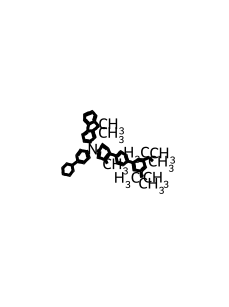 Cc1cc(N(c2ccc(C3CCCCC3)cc2)c2ccc3c(c2)C(C)(C)c2ccccc2-3)ccc1-c1ccc(-c2cc(C(C)(C)C)cc(C(C)(C)C)c2)cc1